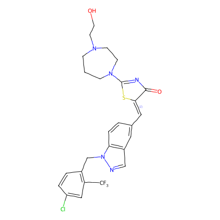 O=C1N=C(N2CCCN(CCO)CC2)S/C1=C\c1ccc2c(cnn2Cc2ccc(Cl)cc2C(F)(F)F)c1